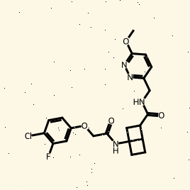 COc1ccc(CNC(=O)C2CC3(NC(=O)COc4ccc(Cl)c(F)c4)CCC23)nn1